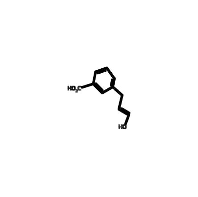 O=C(O)c1cccc(CC=CO)c1